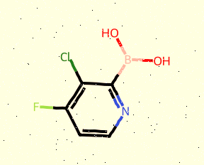 OB(O)c1nccc(F)c1Cl